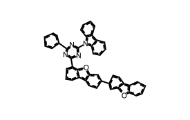 c1ccc(-c2nc(-c3cccc4c3oc3cc(-c5ccc6c(c5)oc5ccccc56)ccc34)nc(-n3c4ccccc4c4ccccc43)n2)cc1